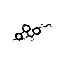 CCCC(C(=O)c1ccc(OCCCl)cc1)c1ccccc1-c1ccc(F)cc1